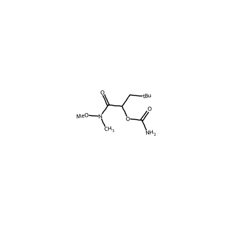 CON(C)C(=O)C(CC(C)(C)C)OC(N)=O